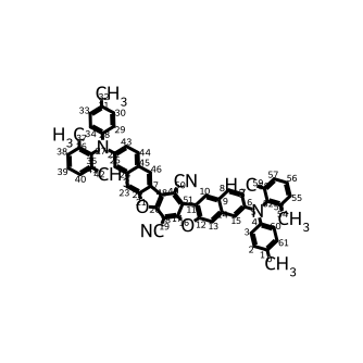 Cc1ccc(N(c2ccc3cc4c(cc3c2)oc2c(C#N)c3oc5cc6cc(N(c7ccc(C)cc7)c7c(C)cccc7C)ccc6cc5c3c(C#N)c24)c2c(C)cccc2C)cc1